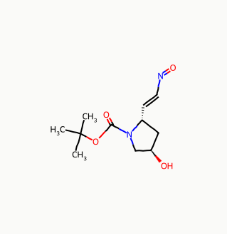 CC(C)(C)OC(=O)N1C[C@H](O)C[C@H]1/C=C/N=O